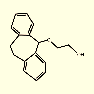 OCCOC1c2ccccc2CCc2ccccc21